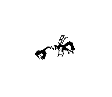 Brc1c(CNCc2ccncc2)[nH]c2ncccc12